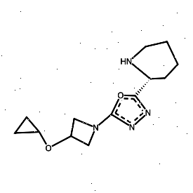 C1CC[C@H](c2nnc(N3CC(OC4CC4)C3)o2)NC1